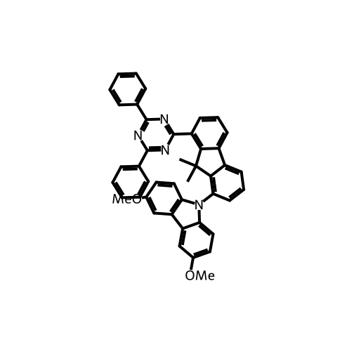 COc1ccc2c(c1)c1cc(OC)ccc1n2-c1cccc2c1C(C)(C)c1c(-c3nc(-c4ccccc4)nc(-c4ccccc4)n3)cccc1-2